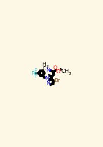 CCOC(=O)/C(C#N)=C/c1cn(Cc2cc(C)cc(C(F)(F)F)c2)c2nccc(Br)c12